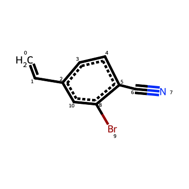 C=Cc1ccc(C#N)c(Br)c1